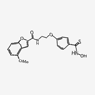 COc1cccc2oc(C(=O)NCCOc3ccc(C(=S)NO)cc3)cc12